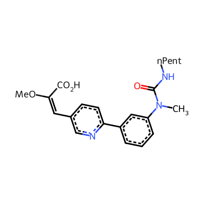 CCCCCNC(=O)N(C)c1cccc(-c2ccc(C=C(OC)C(=O)O)cn2)c1